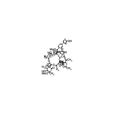 CC[C@H]1OC(=O)[C@H](C)[C@@H](O[C@H]2C[C@@](C)(OC)[C@@H](O)[C@H](C)O2)[C@H](C)[C@@H](O[C@@H]2O[C@H](C)C[C@H](N(C)CCC3=CN([C@H](CF)[C@H](OC)c4ccc(-c5csc(O)n5)cc4)NN3)[C@H]2O)[C@](C)(O)C[C@@H](C)CN(C)[C@H](C)[C@@H](O)[C@]1(C)O